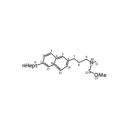 CCCCCCCc1ccc2cc(CCCN(C)SOC)ccc2c1